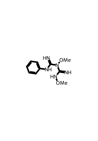 CONC(=N)N(OC)C(=N)Nc1ccccc1